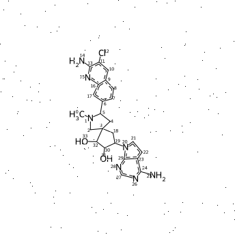 CN1CC2(CC1c1ccc3cc(Cl)c(N)nc3c1)CC(n1ccc3c(N)ncnc31)C(O)C2O